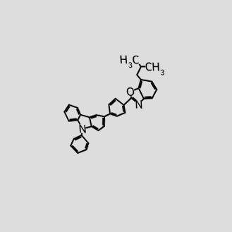 CC(C)Cc1cccc2nc(-c3ccc(-c4ccc5c(c4)c4ccccc4n5-c4ccccc4)cc3)oc12